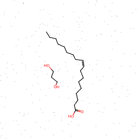 CCCCCCCC/C=C\CCCCCCCC(=O)O.OCCCO